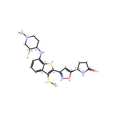 CN1CC[C@@H](Nc2cccc3c(SC(F)(F)F)c(-c4cc([C@H]5CCC(=O)N5)on4)sc23)[C@@H](F)C1